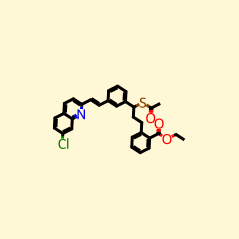 CCOC(=O)c1ccccc1CCC(SC(C)=O)c1cccc(C=Cc2ccc3ccc(Cl)cc3n2)c1